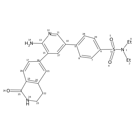 CCN(CC)S(=O)(=O)c1ccc(-c2cnc(N)c(-c3ccc4c(c3)CCNC4=O)c2)cc1